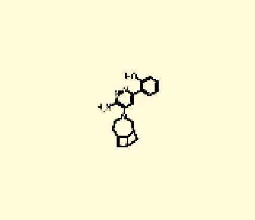 Nc1nnc(-c2ccccc2O)cc1N1CCC2CC3CC(C1)C23